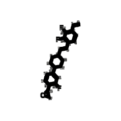 C=Cc1ccc(/C=C/C2CCC(c3ccc(C4CO4)c(F)c3)CC2)c(F)c1F